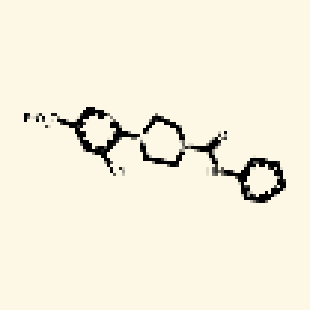 CCOC(=O)c1cnc(N2CCN(C(=O)Nc3ccccc3)CC2)c(C#N)c1